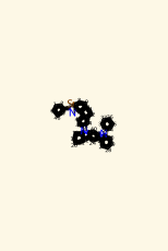 c1ccc(-c2nc3c(ccc4ccc5cc(-n6c7ccccc7c7cc8c9ccccc9n(-c9ccccc9)c8cc76)ccc5c43)s2)cc1